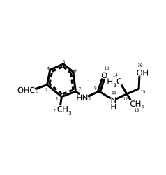 Cc1c(C=O)cccc1NC(=O)NC(C)(C)CO